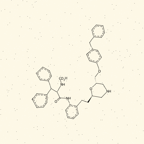 O=C(O)NC(C(=O)Nc1ccccc1CC[C@@H]1CNC[C@@H](COc2ccc(Cc3ccccc3)cc2)O1)C(c1ccccc1)c1ccccc1